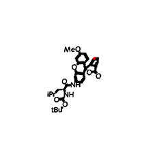 COc1ccc2c(c1)Oc1cc(NC(=O)[C@H](CC(C)C)NC(=O)OC(C)(C)C)ccc1C21OC(=O)c2ccccc21